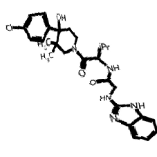 CC(C)C(NC(=O)CNc1nc2ccccc2[nH]1)C(=O)N1CCC(O)(c2ccc(Cl)cc2)C(C)(C)C1